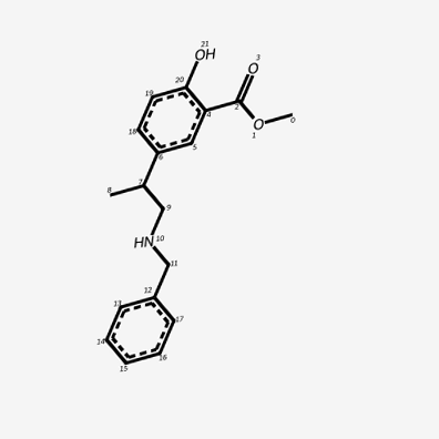 COC(=O)c1cc(C(C)CNCc2ccccc2)ccc1O